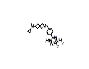 CN(C1CC1)C1CC2(C1)CN(Cc1ccc(/C(=N/N)NN)cc1)C2